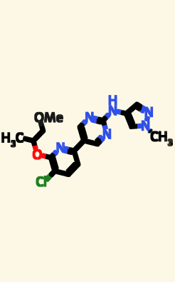 COCC(C)Oc1nc(-c2cnc(Nc3cnn(C)c3)nc2)ccc1Cl